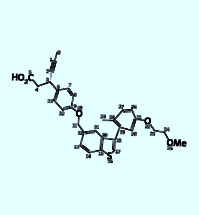 CC#C[C@@H](CC(=O)O)c1ccc(OCc2ccc3scc(-c4cc(OCCOC)ccc4C)c3c2)cc1